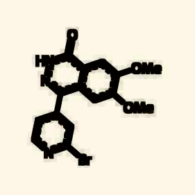 COc1cc2c(-c3ccnc(Br)c3)n[nH]c(=O)c2cc1OC